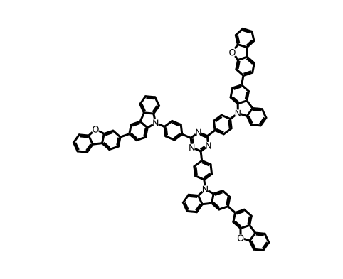 c1ccc2c(c1)oc1cc(-c3ccc4c(c3)c3ccccc3n4-c3ccc(-c4nc(-c5ccc(-n6c7ccccc7c7cc(-c8ccc9c(c8)oc8ccccc89)ccc76)cc5)nc(-c5ccc(-n6c7ccccc7c7cc(-c8ccc9c(c8)oc8ccccc89)ccc76)cc5)n4)cc3)ccc12